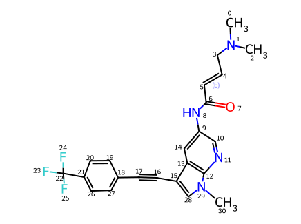 CN(C)C/C=C/C(=O)Nc1cnc2c(c1)c(C#Cc1ccc(C(F)(F)F)cc1)cn2C